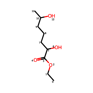 CCOC(=O)C(O)CCCC(C)O